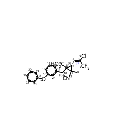 CC1(C)[C@@H](/C=C(/Cl)C(F)(F)F)[C@@]1(C(=O)O)[C@H](C#N)c1cccc(Oc2ccccc2)c1